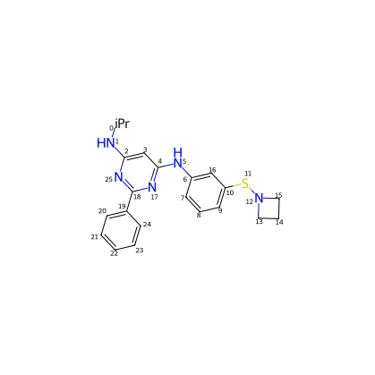 CC(C)Nc1cc(Nc2cccc(SN3CCC3)c2)nc(-c2ccccc2)n1